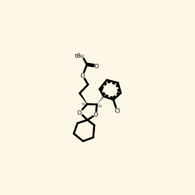 CC(C)(C)C(=O)OCC[C@@H]1OC2(CCCCC2)O[C@H]1c1ccccc1Cl